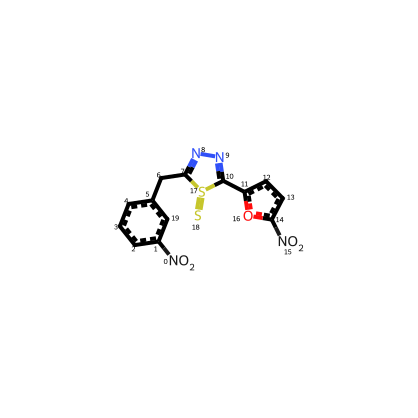 O=[N+]([O-])c1cccc(CC2=NN=C(c3ccc([N+](=O)[O-])o3)S2=S)c1